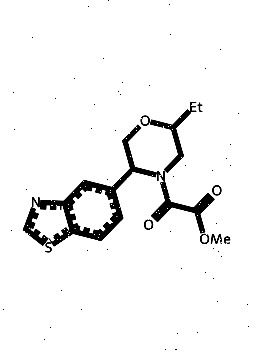 CCC1CN(C(=O)C(=O)OC)C(c2ccc3scnc3c2)CO1